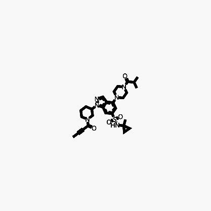 CC#CC(=O)N1CCCC(n2ncc3c(N4CCN(C(=O)C(C)C)CC4)cc(S(=O)(=O)NC4(C)CC4)cc32)C1